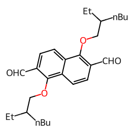 CCCCC(CC)COc1c(C=O)ccc2c(OCC(CC)CCCC)c(C=O)ccc12